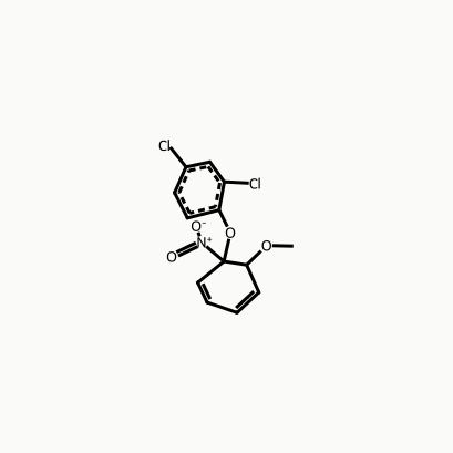 COC1C=CC=CC1(Oc1ccc(Cl)cc1Cl)[N+](=O)[O-]